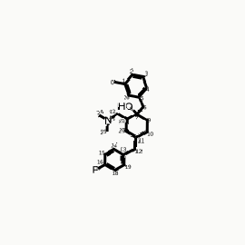 Cc1cccc(CC2(O)CCC(Cc3ccc(F)cc3)CC2CN(C)C)c1